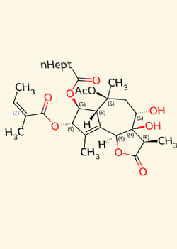 C/C=C(/C)C(=O)O[C@H]1C(C)=C2[C@H]([C@@H]1OC(=O)CCCCCCC)[C@@](C)(OC(C)=O)C[C@H](O)[C@]1(O)[C@@H](C)C(=O)O[C@@H]21